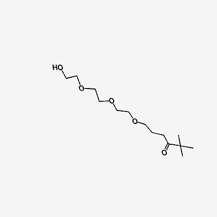 CC(C)(C)C(=O)CCCOCCOCCOCCO